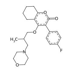 CC(COc1c2c(oc(=O)c1-c1ccc(F)cc1)CCCC2)CN1CCOCC1